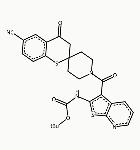 CC(C)(C)OC(=O)Nc1sc2ncccc2c1C(=O)N1CCC2(CC1)CC(=O)c1cc(C#N)ccc1S2